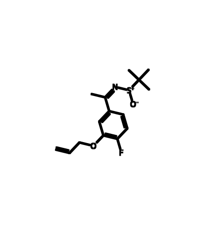 C=CCOc1cc(/C(C)=N\[S+]([O-])C(C)(C)C)ccc1F